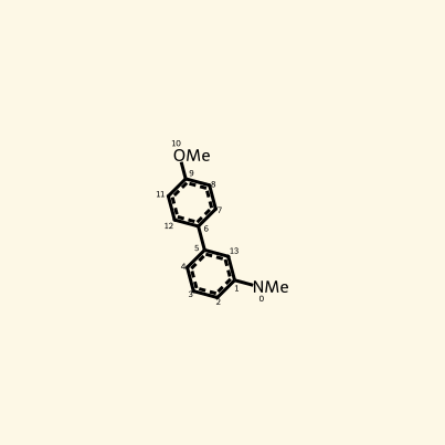 CNc1cccc(-c2ccc(OC)cc2)c1